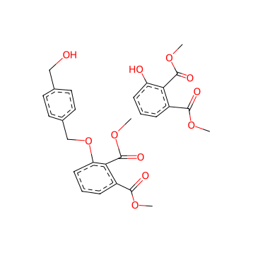 COC(=O)c1cccc(O)c1C(=O)OC.COC(=O)c1cccc(OCc2ccc(CO)cc2)c1C(=O)OC